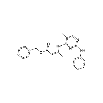 CC(=CC(=O)OCc1ccccc1)Nc1nc(Nc2ccccc2)ncc1C